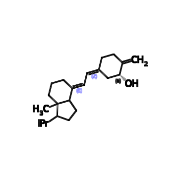 C=C1CC/C(=C/C=C2\CCCC3(C)C2CCC3C(C)C)C[C@H]1O